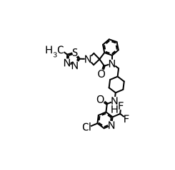 Cc1nnc(N2CC3(C2)C(=O)N(CC2CCC(NC(=O)c4cc(Cl)cnc4C(F)F)CC2)c2ccccc23)s1